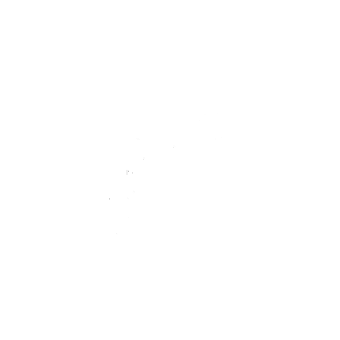 CC1(C)CCNc2c1ccc1c2NC(=C=O)C(C(=O)Oc2c(F)c(F)c(F)c(F)c2F)=C1